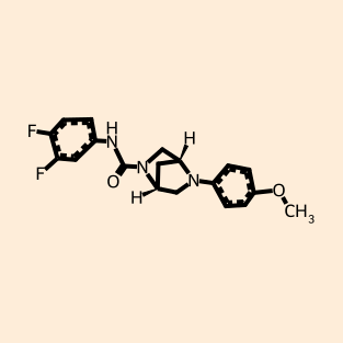 COc1ccc(N2C[C@H]3C[C@@H]2CN3C(=O)Nc2ccc(F)c(F)c2)cc1